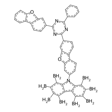 Bc1c(B)c(B)c2c(c1B)c1c(B)c(B)c(B)c(B)c1n2-c1ccc2c(c1)oc1cc(-c3nc(-c4ccccc4)nc(-c4ccc5c(c4)oc4ccccc45)n3)ccc12